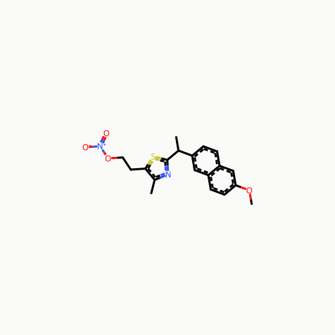 COc1ccc2cc(C(C)c3nc(C)c(CCO[N+](=O)[O-])s3)ccc2c1